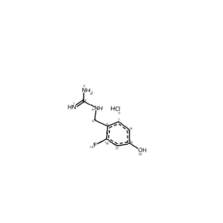 Cl.N=C(N)NCc1ccc(O)cc1F